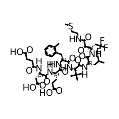 CSCCNC(=O)C(=O)[C@H](CC(F)(F)F)NC(=O)[C@H](CC(C)C)NC(=O)[C@@H](NC(=O)[C@H](Cc1ccccc1C)NC(=O)[C@H](CCC(=O)O)NC(=O)[C@H](CC(=O)O)NC(=O)CCC(=O)O)C(C)(C)C